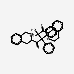 O=[C]C(O)(C(=O)C1NCCc2ccccc21)C(C(=O)C1Cc2ccccc2CN1)(c1ccccc1)c1ccccc1